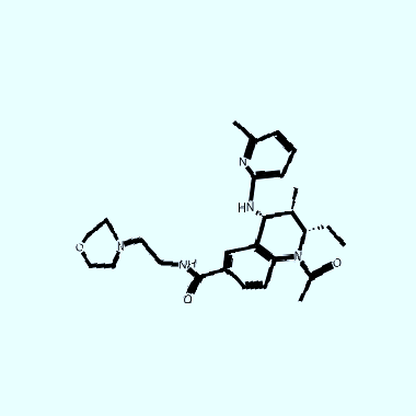 CC[C@H]1[C@H](C)[C@@H](Nc2cccc(C)n2)c2cc(C(=O)NCCN3CCOCC3)ccc2N1C(C)=O